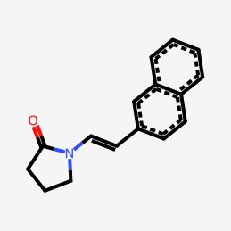 O=C1CCCN1C=Cc1ccc2ccccc2c1